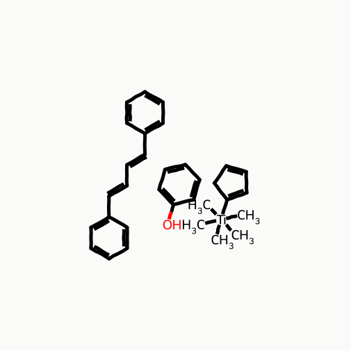 C(C=Cc1ccccc1)=Cc1ccccc1.Oc1ccccc1.[CH3][Ti]([CH3])([CH3])([CH3])([CH3])[C]1=CC=CC1